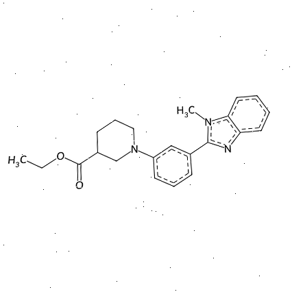 CCOC(=O)C1CCCN(c2cccc(-c3nc4ccccc4n3C)c2)C1